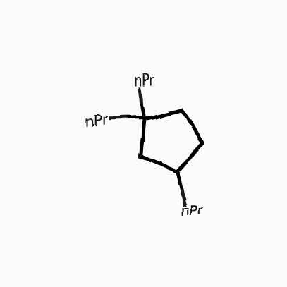 CCCC1CCC(CCC)(CCC)C1